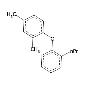 CCCc1ccccc1Oc1ccc(C)cc1C